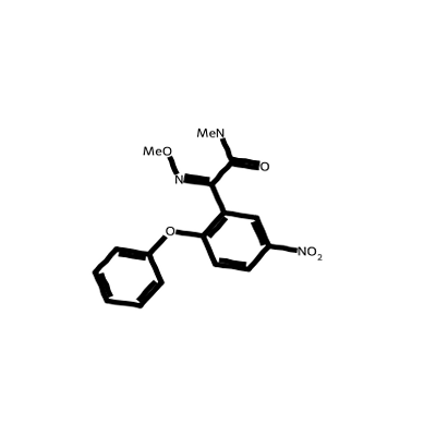 CNC(=O)C(=NOC)c1cc([N+](=O)[O-])ccc1Oc1ccccc1